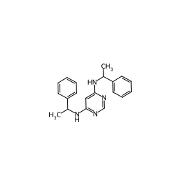 CC(Nc1cc(NC(C)c2ccccc2)ncn1)c1ccccc1